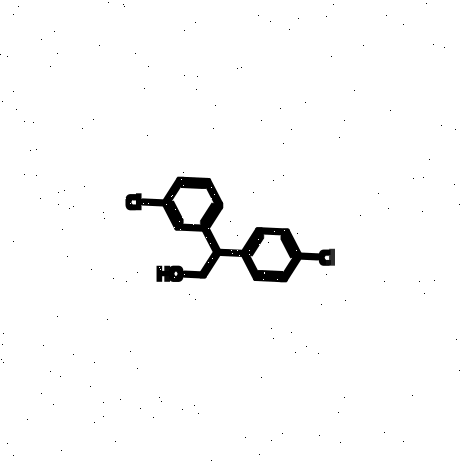 OCC(c1ccc(Cl)cc1)c1cccc(Cl)c1